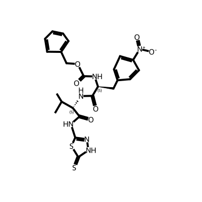 CC(C)[C@H](NC(=O)[C@H](Cc1ccc([N+](=O)[O-])cc1)NC(=O)OCc1ccccc1)C(=O)Nc1n[nH]c(=S)s1